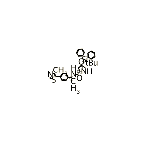 Cc1ncsc1-c1ccc([C@H](C)NC(=O)[C@@H]2C[C@@H](O[Si](c3ccccc3)(c3ccccc3)C(C)(C)C)CN2)cc1